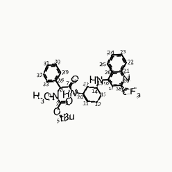 CN(C(=O)OC(C)(C)C)[C@H](C(=O)N[C@@H]1CCC[C@H](Nc2cc(C(F)(F)F)nc3ccccc23)C1)c1ccccc1